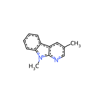 Cc1cnc2c(c1)c1ccccc1n2C